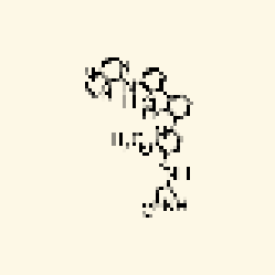 COc1nc(-c2cccc(-c3cccc(Nc4nccc5nccnc45)c3Cl)c2Cl)ccc1CNC1CNC(=O)C1